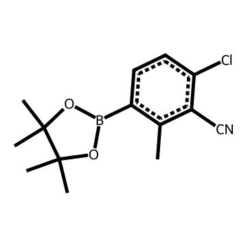 Cc1c(B2OC(C)(C)C(C)(C)O2)ccc(Cl)c1C#N